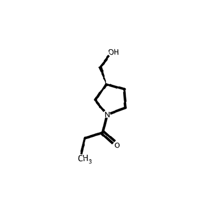 CCC(=O)N1CC[C@H](CO)C1